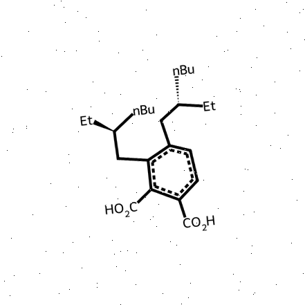 CCCC[C@H](CC)Cc1ccc(C(=O)O)c(C(=O)O)c1C[C@@H](CC)CCCC